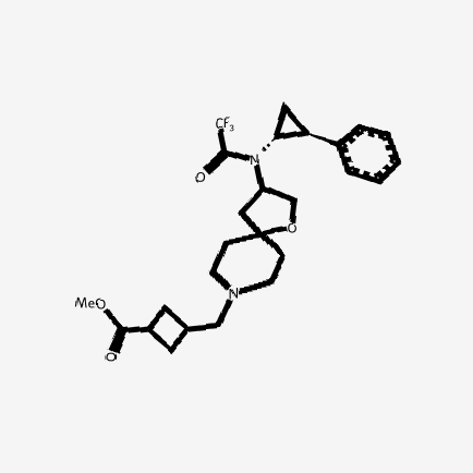 COC(=O)C1CC(CN2CCC3(CC2)CC(N(C(=O)C(F)(F)F)[C@@H]2C[C@H]2c2ccccc2)CO3)C1